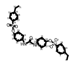 CCc1ccc(S(=O)(=O)Oc2ccc(NC(=O)Nc3ccc(OS(=O)(=O)c4ccc(CC)cc4)cc3)cc2)cc1